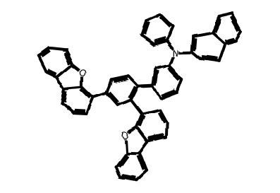 c1ccc(N(c2cccc(-c3ccc(-c4cccc5c4oc4ccccc45)cc3-c3cccc4c3oc3ccccc34)c2)c2ccc3ccccc3c2)cc1